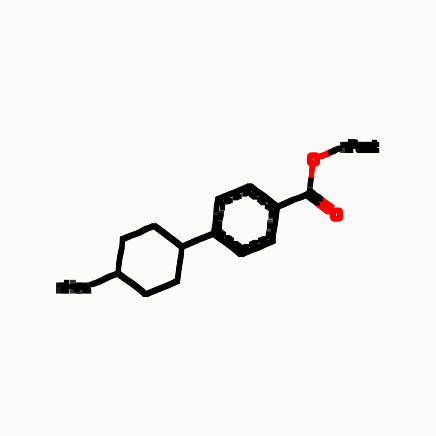 CCCCCCC1CCC(c2ccc(C(=O)OCCCCC)cc2)CC1